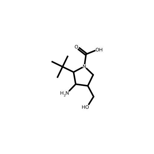 CC(C)(C)C1C(N)C(CO)CN1C(=O)O